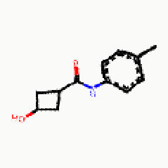 Cc1ccc(NC(=O)C2CC(O)C2)cc1